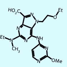 CCOCCn1nc(C(=O)O)c2nc(N(C)CC)nc(Nc3ccnc(OC)n3)c21